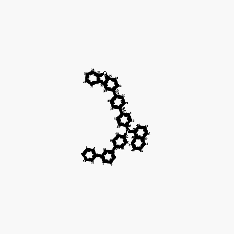 c1ccc(-c2cccc(-c3ccc(N(c4ccc(-c5ccc(-c6ccc7oc8ccccc8c7c6)cc5)cc4)c4cccc5ccccc45)cc3)c2)cc1